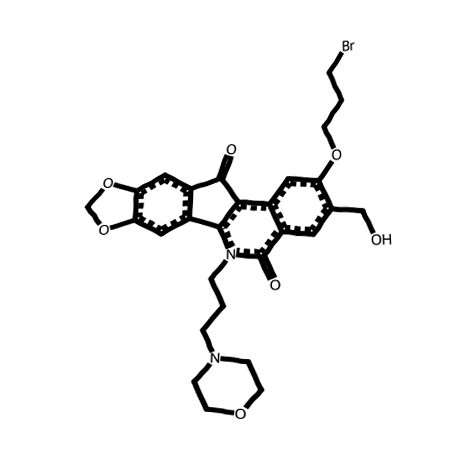 O=C1c2cc3c(cc2-c2c1c1cc(OCCCBr)c(CO)cc1c(=O)n2CCCN1CCOCC1)OCO3